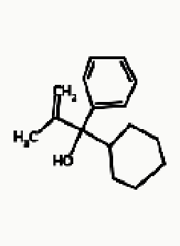 C=C(C)C(O)(c1ccccc1)C1CCCCC1